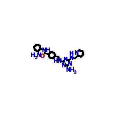 Nc1nc(NCc2ccc(C(=O)Nc3ccccc3N)cc2)nc(NCc2ccccn2)n1